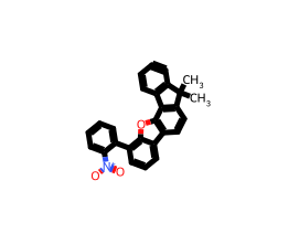 CC1(C)c2c#cccc2-c2c1ccc1c2oc2c(-c3ccccc3[N+](=O)[O-])cccc21